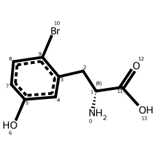 N[C@H](Cc1cc(O)ccc1Br)C(=O)O